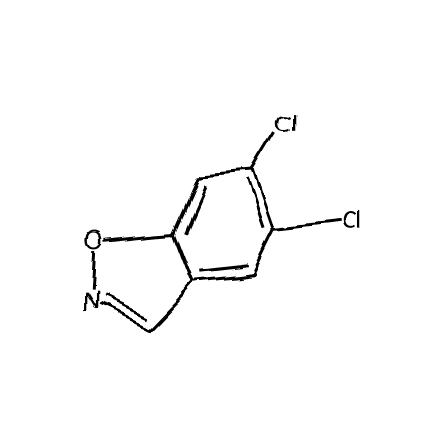 Clc1cc2cnoc2cc1Cl